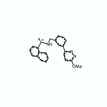 COc1ccc(-c2cccc(CN[C@H](C)c3cccc4ccccc34)c2)nn1